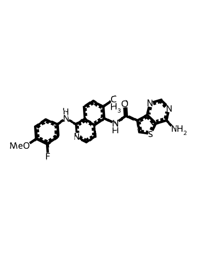 COc1ccc(Nc2nccc3c(NC(=O)c4csc5c(N)ncnc45)c(C)ccc23)cc1F